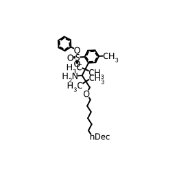 CCCCCCCCCCCCCCCCOCC(C)(C)C(N)C(C)(C)c1cc(C)ccc1S(=O)(=O)Oc1ccccc1